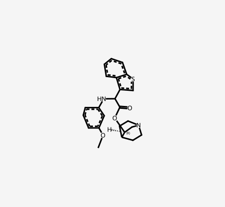 COc1cccc(NC(C(=O)O[C@H]2CN3CCC2CC3)c2csc3ccccc23)c1